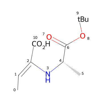 C/C=C(\N[C@@H](C)C(=O)OC(C)(C)C)C(=O)O